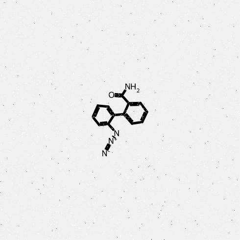 [N-]=[N+]=Nc1ccccc1-c1ccccc1C(N)=O